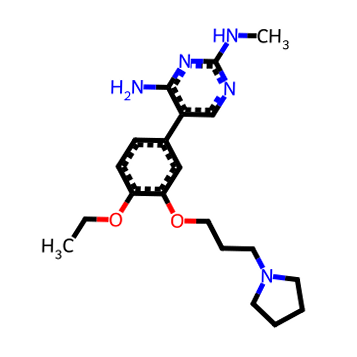 CCOc1ccc(-c2cnc(NC)nc2N)cc1OCCCN1CCCC1